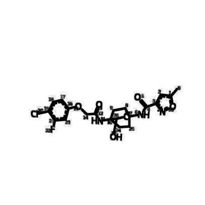 Cc1cc(C(=O)NC23CCC(NC(=O)COc4ccc(Cl)c(F)c4)(CC2)C(O)C3)no1